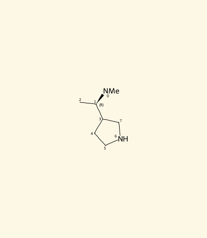 CN[C@H](C)C1CCNC1